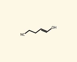 N#CCCC=CO